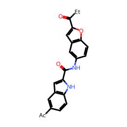 CCC(=O)c1cc2cc(NC(=O)c3cc4cc(C(C)=O)ccc4[nH]3)ccc2o1